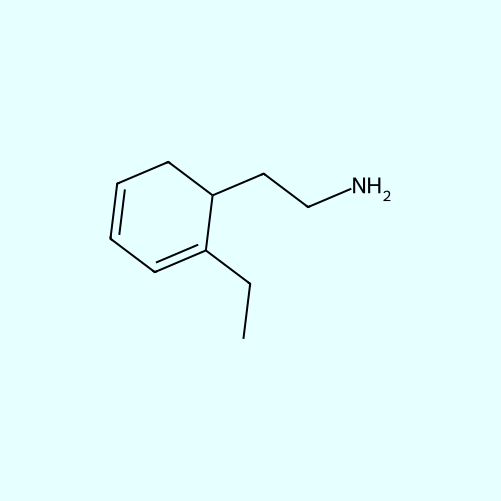 CCC1=CC=CCC1CCN